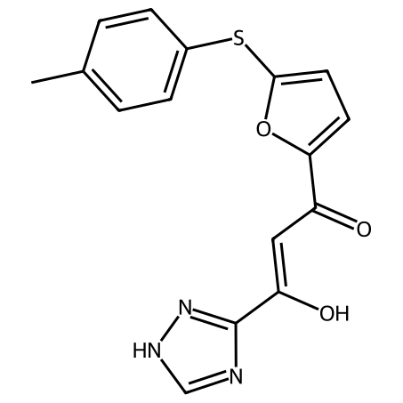 Cc1ccc(Sc2ccc(C(=O)C=C(O)c3nc[nH]n3)o2)cc1